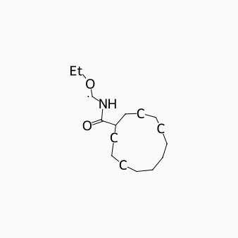 CCO[CH]NC(=O)C1CCCCCCCCCCC1